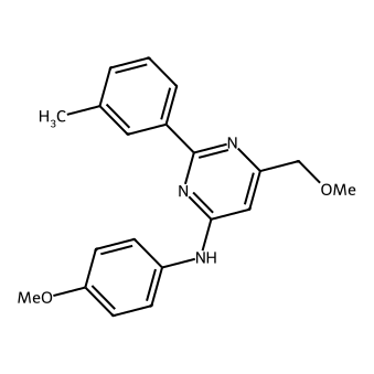 COCc1cc(Nc2ccc(OC)cc2)nc(-c2cccc(C)c2)n1